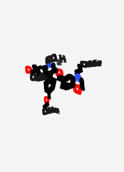 COCCCN1CCOc2ccc(CO[C@H]3CN(C(=O)O)[C@@H](CC(C)(C)C(=O)OC)C[C@@H]3c3ccc(COCCOC)cc3)cc21